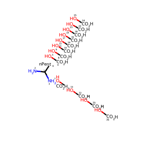 CCCCCC(N)N.O=C(O)O.O=C(O)O.O=C(O)O.O=C(O)O.O=C(O)O.O=C(O)O.O=C(O)O.O=C(O)O.O=C(O)O.O=C(O)O.O=C(O)O.O=C(O)O